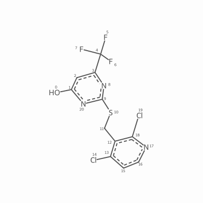 Oc1cc(C(F)(F)F)nc(SCc2c(Cl)ccnc2Cl)n1